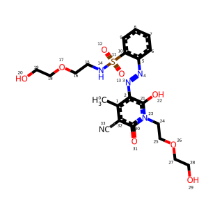 Cc1c(/N=N/c2ccccc2S(=O)(=O)NCCOCCO)c(O)n(CCOCCO)c(=O)c1C#N